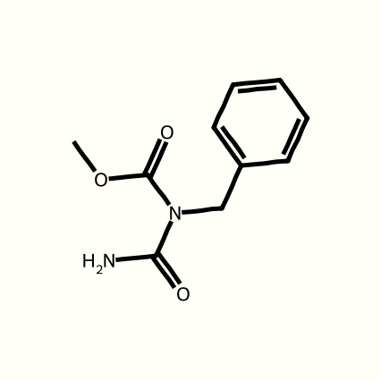 COC(=O)N(Cc1ccccc1)C(N)=O